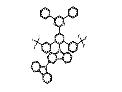 FC(F)(F)c1cccc(-c2cc(-c3nc(-c4ccccc4)cc(-c4ccccc4)n3)cc(-c3cccc(C(F)(F)F)c3)c2-n2c3ccccc3c3cc(-n4c5ccccc5c5ccccc54)ccc32)c1